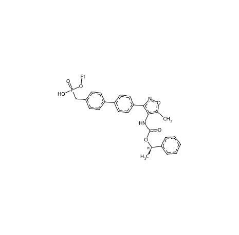 CCOP(=O)(O)Cc1ccc(-c2ccc(-c3noc(C)c3NC(=O)O[C@H](C)c3ccccc3)cc2)cc1